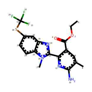 CCOC(=O)c1cc(C)c(N)nc1-c1nc2cc(SC(F)(F)F)ccc2n1C